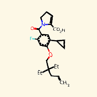 C=CCC(CC)(CC)COc1cc(F)c(C(=O)N2CCC=C2C(=O)O)cc1C1CC1